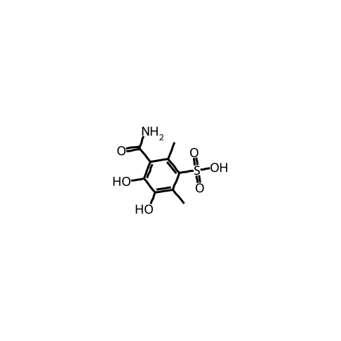 Cc1c(O)c(O)c(C(N)=O)c(C)c1S(=O)(=O)O